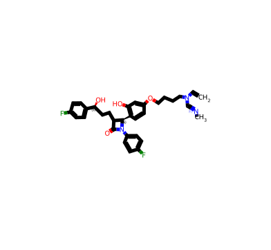 C=CN(/C=N/C)CCCCOc1ccc([C@@H]2C(CC[C@H](O)c3ccc(F)cc3)C(=O)N2c2ccc(F)cc2)c(O)c1